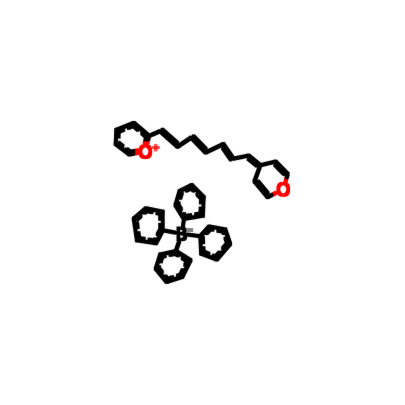 C(=CC=Cc1cccc[o+]1)C=CC=C1C=COC=C1.c1ccc([B-](c2ccccc2)(c2ccccc2)c2ccccc2)cc1